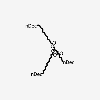 CCCCCCCCCC/C=C\CCCCCCCCCC(=O)OC[C@@H](COC(=O)CCCCCCCCCCCCC)OC(=O)CCCCCCCCCCCCCCCCCCCC